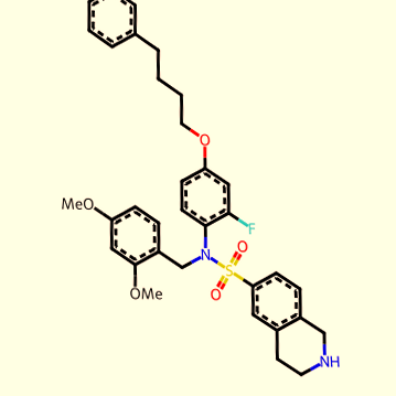 COc1ccc(CN(c2ccc(OCCCCc3ccccc3)cc2F)S(=O)(=O)c2ccc3c(c2)CCNC3)c(OC)c1